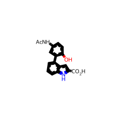 CC(=O)Nc1ccc(O)c(-c2cccc3[nH]c(C(=O)O)cc23)c1